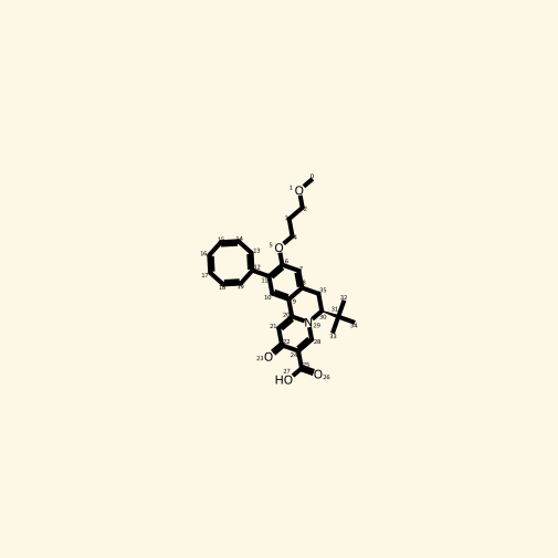 COCCCOc1cc2c(cc1C1=C/C=C\C=C/C=C\1)-c1cc(=O)c(C(=O)O)cn1[C@H](C(C)(C)C)C2